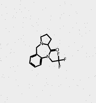 O=C1C2CCCN2Cc2ccccc2N1CC(F)(F)F